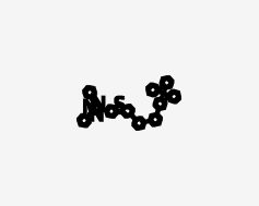 c1ccc(-c2nc(-c3ccccc3)nc(-c3ccc4c(c3)sc3ccc(-c5cccc(-c6cccc(-c7ccc(S(c8ccccc8)(c8ccccc8)c8ccccc8)cc7)c6)c5)cc34)n2)cc1